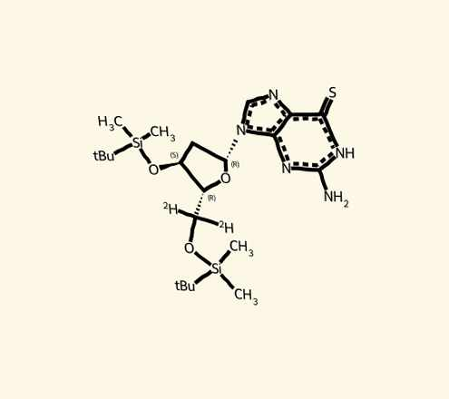 [2H]C([2H])(O[Si](C)(C)C(C)(C)C)[C@H]1O[C@@H](n2cnc3c(=S)[nH]c(N)nc32)C[C@@H]1O[Si](C)(C)C(C)(C)C